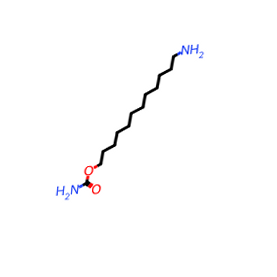 NCCCCCCCCCCCCOC(N)=O